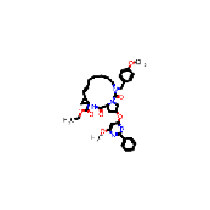 CCOC(=O)C12CC1/C=C/CCCCCN(Cc1ccc(OC)cc1)C(=O)N1CC(Oc3cc(OC)nc(-c4ccccc4)n3)CC1C(=O)N2